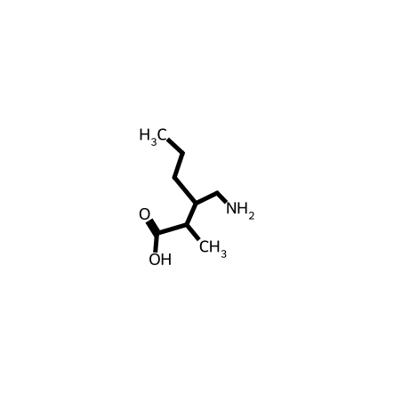 CCCC(CN)C(C)C(=O)O